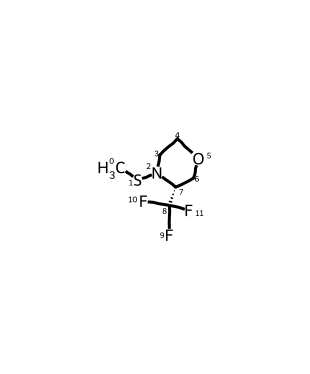 CSN1CCOC[C@@H]1C(F)(F)F